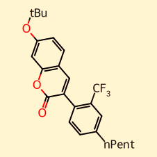 CCCCCc1ccc(-c2cc3ccc(OC(C)(C)C)cc3oc2=O)c(C(F)(F)F)c1